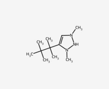 CN1C=C(C(C)(C)C(C)(C)C)N(C)N1